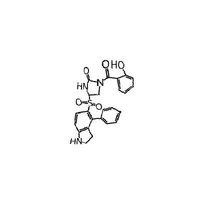 O=C1NC(S(=O)(=O)c2ccc3c(c2-c2ccccc2)CCN3)CN1C(=O)c1ccccc1O